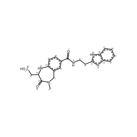 CN1Cc2cc(C(=O)NCCc3nc4ccccc4[nH]3)ccc2NC(CC(=O)O)C1=O